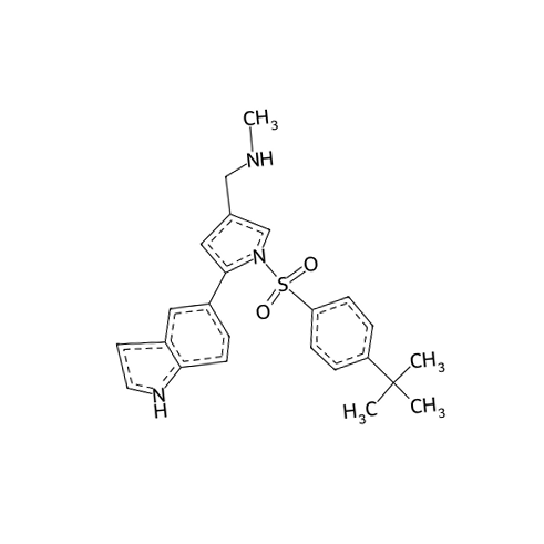 CNCc1cc(-c2ccc3[nH]ccc3c2)n(S(=O)(=O)c2ccc(C(C)(C)C)cc2)c1